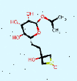 CC(C)O[C@H]1O[C@H](CCC2(O)C[S+]([O-])C2)[C@@H](O)[C@H](O)[C@@H]1O